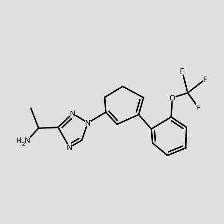 CC(N)c1ncn(C2=CC(c3ccccc3OC(F)(F)F)=CCC2)n1